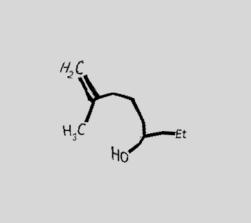 C=C(C)C[C](O)CC